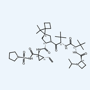 C=C[C@@H]1C[C@]1(NC(=O)[C@@H]1C[C@@]2(CN1C(=O)[C@@H](NC(=O)[C@@H](NC(=O)[C@H]1CCN1C(C)C)C(C)(C)C)C(C)(C)C)C(C)(C)C21CCC1)C(=O)NS(=O)(=O)N1CCCC1